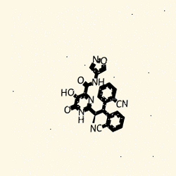 C[C@@H](c1nc(C(=O)Nc2cnoc2)c(O)c(=O)[nH]1)C(c1ccccc1C#N)c1ccccc1C#N